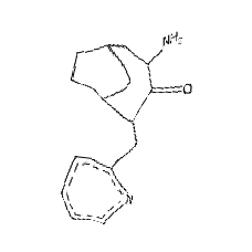 NC1C(=O)C(Cc2ccccn2)C2CCC1C2